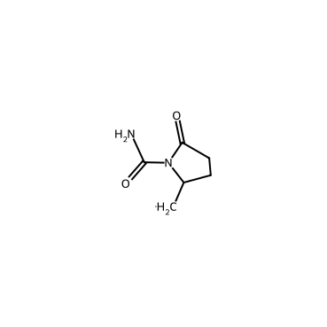 [CH2]C1CCC(=O)N1C(N)=O